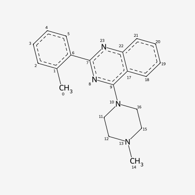 Cc1ccccc1-c1nc(N2CCN(C)CC2)c2ccccc2n1